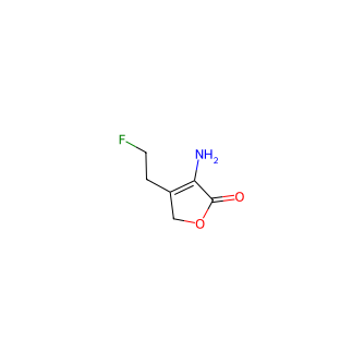 NC1=C(CCF)COC1=O